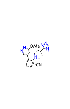 COc1cc(-c2cccc(C#N)c2N2CCC(c3nncn3C)CC2)cnn1